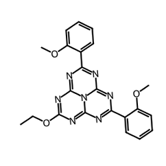 CCOC1=NC2=NC(c3ccccc3OC)=NC3=NC(c4ccccc4OC)=NC(=N1)N23